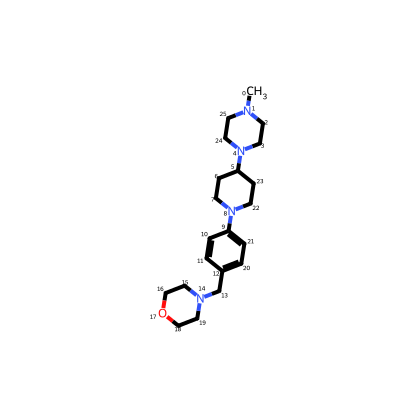 CN1CCN(C2CCN(c3ccc(CN4CCOCC4)cc3)CC2)CC1